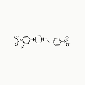 O=[N+]([O-])c1ccc(CCN2CCN(c3ccc([N+](=O)[O-])c(F)c3)CC2)cc1